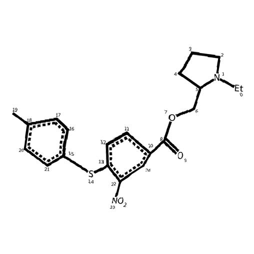 CCN1CCCC1COC(=O)c1ccc(Sc2ccc(C)cc2)c([N+](=O)[O-])c1